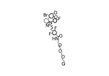 COCCOCCOCCOCCNC(=O)c1cc(F)c(CSc2nc3c(n2-c2ccc(F)cc2)C(c2cc(OC)c(OC)cc2Br)CCC3)c(F)c1